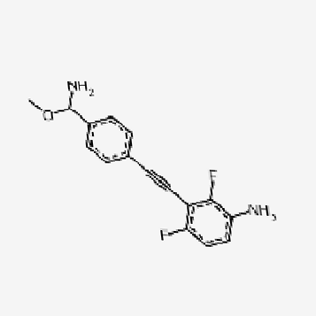 COC(N)c1ccc(C#Cc2c(F)ccc(N)c2F)cc1